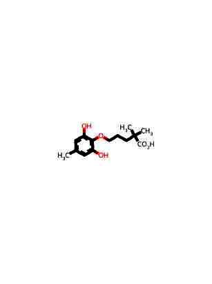 Cc1cc(O)c(OCCCC(C)(C)C(=O)O)c(O)c1